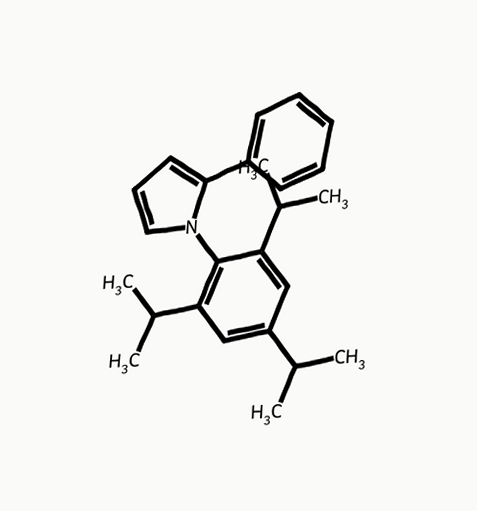 CC(C)c1cc(C(C)C)c(-n2cccc2-c2ccccc2)c(C(C)C)c1